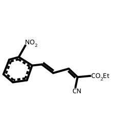 CCOC(=O)/C(C#N)=C/C=C/c1ccccc1[N+](=O)[O-]